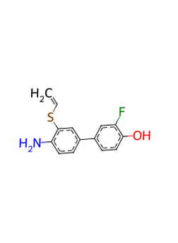 C=CSc1cc(-c2ccc(O)c(F)c2)ccc1N